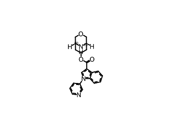 O=C(OC1C[C@H]2COC[C@@H](C1)N2)c1cn(-c2cccnc2)c2ccccc12